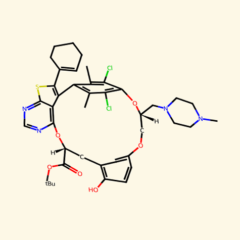 Cc1c(Cl)c2c(Cl)c(C)c1-c1c(C3=CCCCC3)sc3ncnc(c13)O[C@@H](C(=O)OC(C)(C)C)Cc1cc(ccc1O)OC[C@@H](CN1CCN(C)CC1)O2